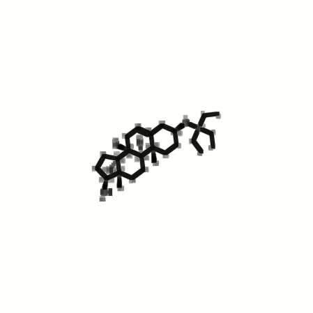 CC[Si](CC)(CC)O[C@H]1CC[C@@]2(C)C(=CC[C@H]3[C@@H]4CC[C@H](O)[C@@]4(C)CC[C@@H]32)C1